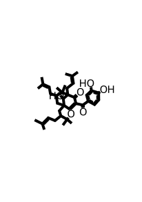 CC(C)=CCC1CC23CC(CC=C(C)C)C(C)(C)C(CC=C(C)C)(C(=O)C(C(=O)c4ccc(O)c(O)c4)=C2OC1(C)C)C3O